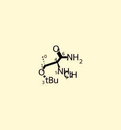 C[C@@H](OC(C)(C)C)[C@H](N)C(N)=O.Cl